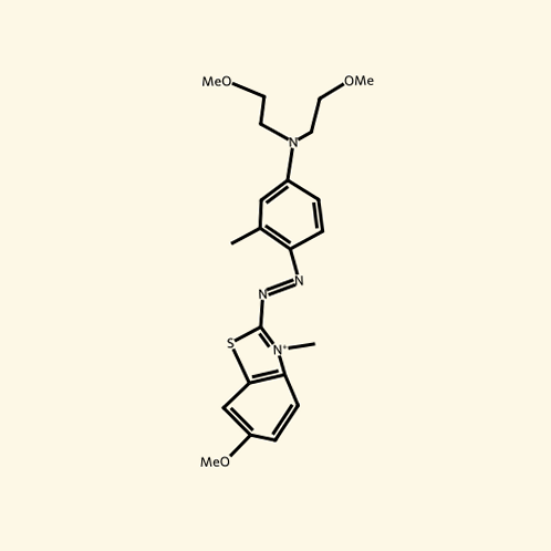 COCCN(CCOC)c1ccc(/N=N/c2sc3cc(OC)ccc3[n+]2C)c(C)c1